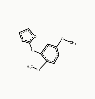 COc1ccc(OC)c(Oc2nc[c]o2)c1